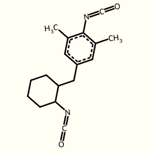 Cc1cc(CC2CCCCC2N=C=O)cc(C)c1N=C=O